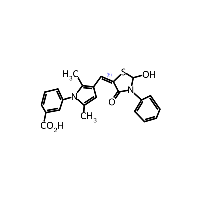 Cc1cc(/C=C2/SC(O)N(c3ccccc3)C2=O)c(C)n1-c1cccc(C(=O)O)c1